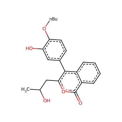 CCCCOc1ccc(-c2c(CC(C)O)oc(=O)c3ccccc23)cc1O